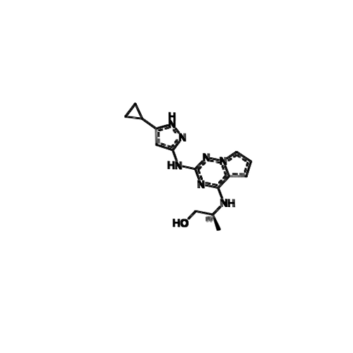 C[C@@H](CO)Nc1nc(Nc2cc(C3CC3)[nH]n2)nn2cccc12